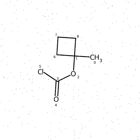 CC1(OC(=O)Cl)CCC1